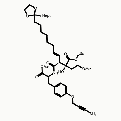 CC#CCOc1ccc(C[C@H](NC(=O)[C@@H](/C=C/CCCCCCC2(CCCCCCC)OCCO2)[C@@](O)(CCOC)C(=O)OC(C)(C)C)C(=O)OC)cc1